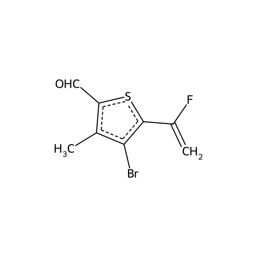 C=C(F)c1sc(C=O)c(C)c1Br